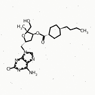 CCCC[C@H]1CC[C@H](C(=O)O[C@H]2C[C@H](Cn3cnc4c(N)nc(Cl)nc43)O[C@]2(C)CO)CC1